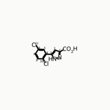 O=C(O)c1cc(-c2cc(Cl)ccc2Cl)[nH]n1